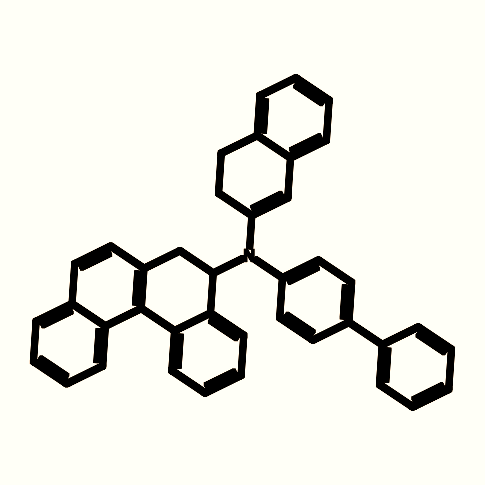 C1=C(N(c2ccc(-c3ccccc3)cc2)C2Cc3ccc4ccccc4c3-c3ccccc32)CCc2ccccc21